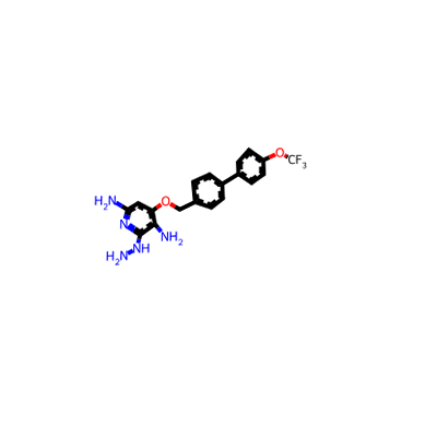 NNc1nc(N)cc(OCc2ccc(-c3ccc(OC(F)(F)F)cc3)cc2)c1N